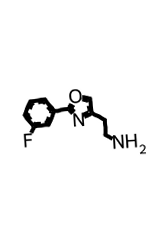 NCCc1coc(-c2cccc(F)c2)n1